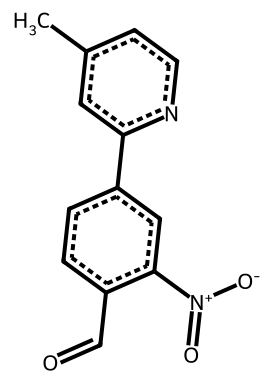 Cc1ccnc(-c2ccc(C=O)c([N+](=O)[O-])c2)c1